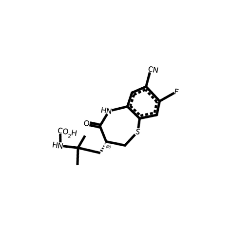 CC(C)(C[C@H]1CSc2cc(F)c(C#N)cc2NC1=O)NC(=O)O